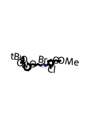 COCOc1cc(Cl)c(/C=C/CCCOC2CCCCN(C(=O)OC(C)(C)C)C2)c(Br)c1